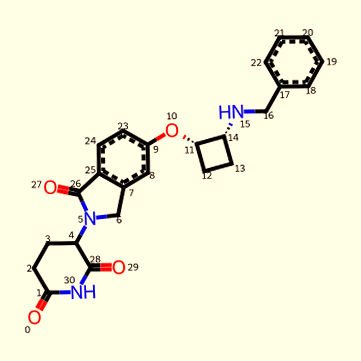 O=C1CCC(N2Cc3cc(O[C@H]4CC[C@H]4NCc4ccccc4)ccc3C2=O)C(=O)N1